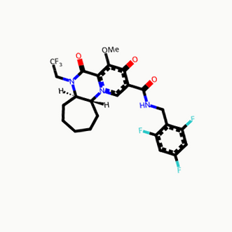 COc1c2n(cc(C(=O)NCc3c(F)cc(F)cc3F)c1=O)[C@@H]1CCCCC[C@H]1N(CC(F)(F)F)C2=O